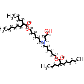 CCCCCCC(CCCC)C(=O)OCCCCCCN(CCCO)CCCCCCOC(=O)C(CCCC)CCCCCC